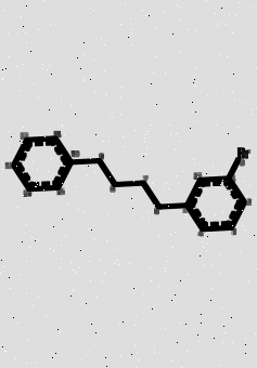 Brc1cccc(CCCCc2ccccc2)c1